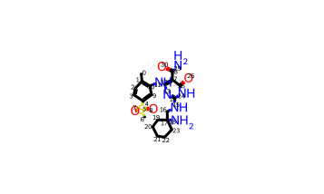 Cc1ccc(S(C)(=O)=O)cc1Nc1nc(NCC2(N)CCCCC2)[nH]c(=O)c1C(N)=O